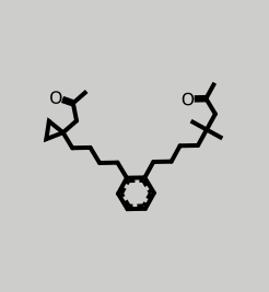 CC(=O)CC(C)(C)CCCCc1ccccc1CCCCC1(CC(C)=O)CC1